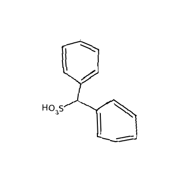 O=S(=O)(O)C(c1cc[c]cc1)c1ccccc1